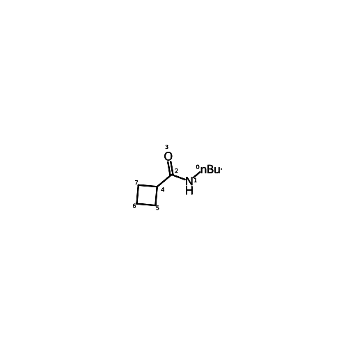 CCC[CH]NC(=O)C1CCC1